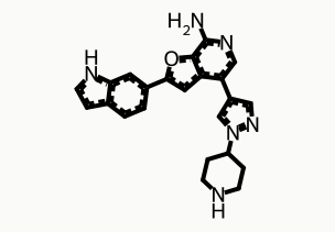 Nc1ncc(-c2cnn(C3CCNCC3)c2)c2cc(-c3ccc4cc[nH]c4c3)oc12